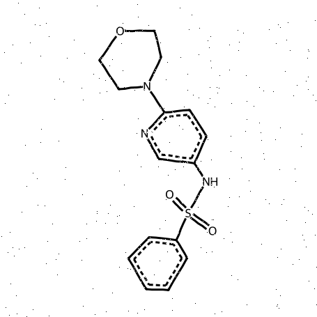 O=S(=O)(Nc1ccc(N2CCOCC2)nc1)c1ccccc1